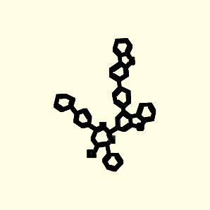 CCC1=C(c2ccccc2)N=C(c2cc(-c3ccc(-c4ccc5c(c4)sc4ccccc45)cc3)c3c(c2)oc2ccccc23)N=C(c2ccc(-c3ccccc3)cc2)C1